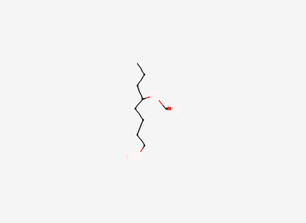 [CH2]CCC(CCCCO)OC=O